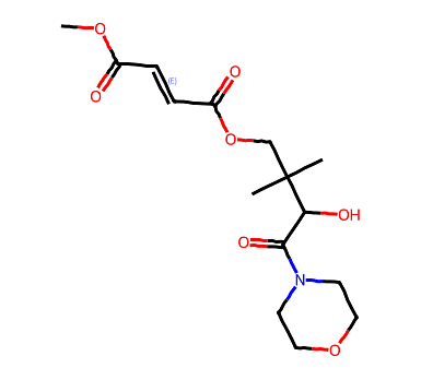 COC(=O)/C=C/C(=O)OCC(C)(C)C(O)C(=O)N1CCOCC1